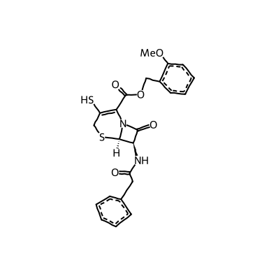 COc1ccccc1COC(=O)C1=C(S)CS[C@@H]2[C@H](NC(=O)Cc3ccccc3)C(=O)N12